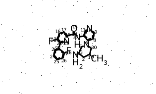 CC1CC(N)CN(c2ccncc2NC(=O)c2ccc(F)c(-c3ccccc3F)n2)C1